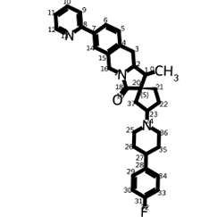 CC1C2Cc3ccc(-c4ccccn4)cc3CN2C(=O)[C@]12CCC(N1CCC(c3ccc(F)cc3)CC1)C2